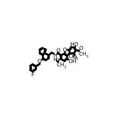 COc1cc(O)c2c(c1C(=O)NCc1ccc(OCc3cccc(F)c3)c3ccccc13)OC1=CC(O)=C(C(C)=O)C(=O)[C@]12C